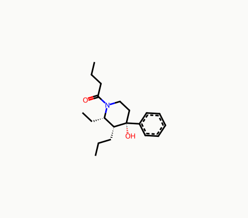 CCCC(=O)N1CC[C@@](O)(c2ccccc2)[C@H](CCC)[C@@H]1CC